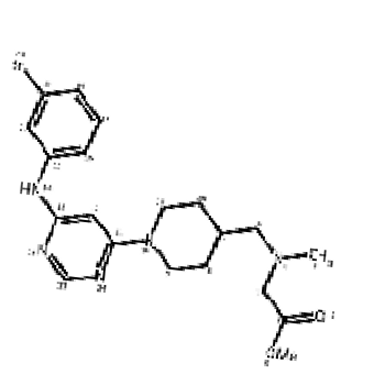 COC(=O)CN(C)CC1CCN(c2cc(Nc3cccc(Br)c3)ncn2)CC1